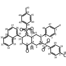 Cc1ccc([C@@H]2C[C@H]3[C@@H](CN2S(=O)(=O)c2ccc(Cl)cc2)C(=O)C[C@@H](c2cccc4ccccc24)N3S(=O)(=O)c2ccc(C)cc2)cc1